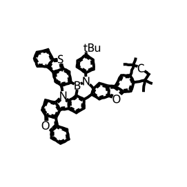 CC(C)(C)c1ccc(N2B3c4cc5sc6ccccc6c5cc4-n4c5ccc6oc7ccccc7c6c5c5ccc(c3c54)-c3cc4oc5cc6c(cc5c4cc32)C(C)(C)CCC6(C)C)cc1